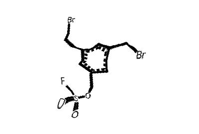 O=S(=O)(F)Oc1cc(CBr)cc(CBr)c1